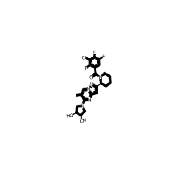 Cc1cn2nc([C@@H]3CCCCN3C(=O)c3cc(F)c(F)c(Cl)c3F)cc2nc1N1C[C@@H](C#N)[C@@H](O)C1